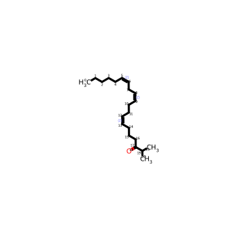 CCCCC/C=C\C/C=C\CC/C=C\CCCC(=O)C(C)C